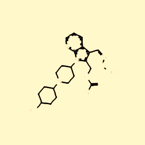 CC(C)C1CCC(N2CCC(n3c(COC(N)=O)c(/C=N\SO)c4cccnc43)CC2)CC1